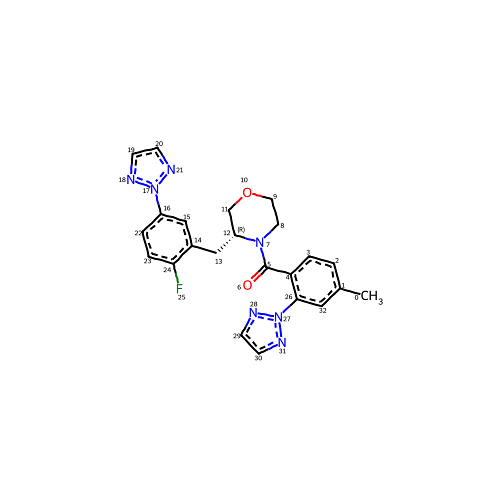 Cc1ccc(C(=O)N2CCOC[C@H]2Cc2cc(-n3nccn3)ccc2F)c(-n2nccn2)c1